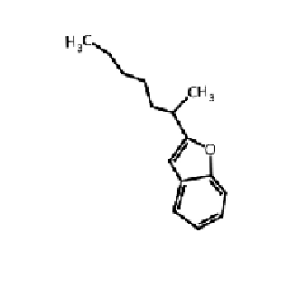 CCCCCC(C)c1cc2ccccc2o1